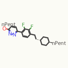 CCCCCOc1ccc(-c2ccc(CC[C@H]3CC[C@H](CCCCC)CC3)c(F)c2F)nn1